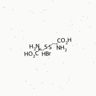 Br.NC(CSSC[C@H](N)C(=O)O)C(=O)O